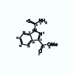 COC(=O)c1nn(C(N)=S)c2ccccc12